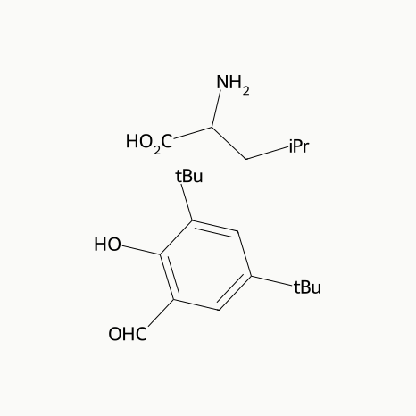 CC(C)(C)c1cc(C=O)c(O)c(C(C)(C)C)c1.CC(C)CC(N)C(=O)O